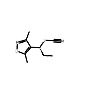 CC[C@H](SC#N)c1c(C)noc1C